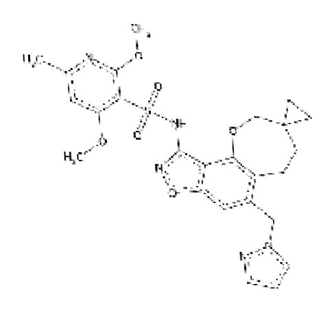 COc1cc(C)nc(OC)c1S(=O)(=O)Nc1noc2cc(Cn3cccn3)c3c(c12)OCC1(CC3)CC1